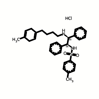 CC1=CCC(CCCCN[C@@H](c2ccccc2)[C@@H](NS(=O)(=O)c2ccc(C)cc2)c2ccccc2)=CC1.Cl